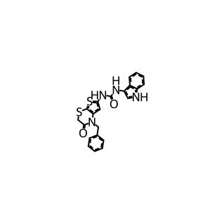 O=C(Nc1cc2c(s1)SCC(=O)N2Cc1ccccc1)Nc1c[nH]c2ccccc12